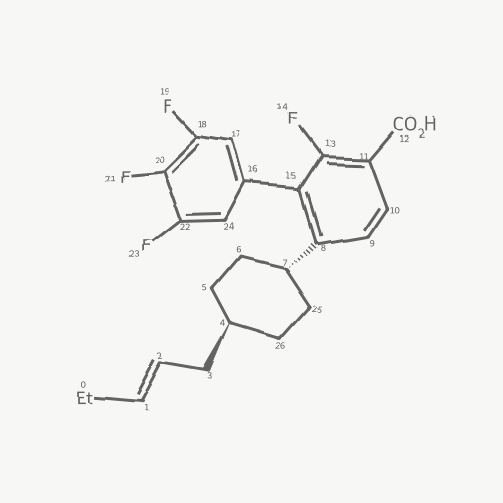 CC/C=C/C[C@H]1CC[C@H](c2ccc(C(=O)O)c(F)c2-c2cc(F)c(F)c(F)c2)CC1